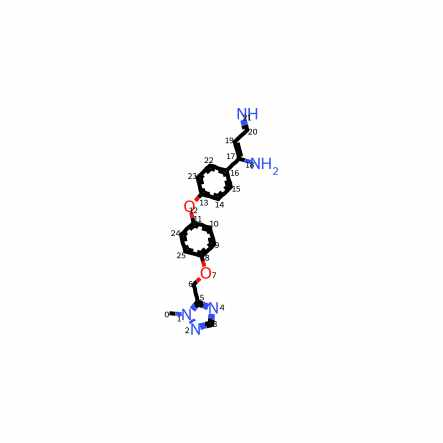 Cn1ncnc1COc1ccc(Oc2ccc(/C(N)=C/C=N)cc2)cc1